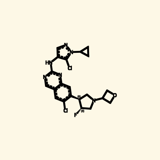 F[C@H]1CN(C2COC2)C[C@@H]1c1cc2nc(Nc3cnn(C4CC4)c3Cl)ncc2cc1Cl